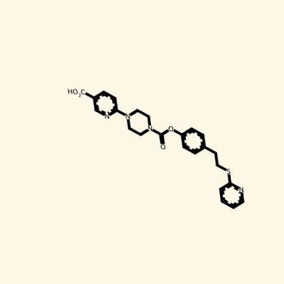 O=C(O)c1ccc(N2CCN(C(=O)Oc3ccc(CCSc4ccccn4)cc3)CC2)nc1